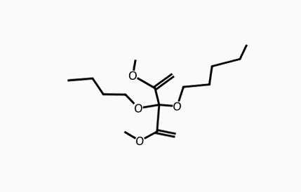 C=C(OC)C(OCCCC)(OCCCCC)C(=C)OC